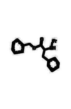 CC(C)NC(Cc1ccccc1)C(=O)OCc1ccccc1